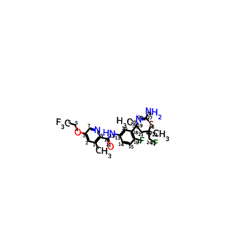 Cc1cc(OCC(F)(F)F)cnc1C(=O)Nc1ccc(F)c([C@]2(C)C[C@](C)(CF)SC(N)=N2)c1